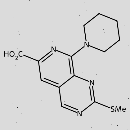 CSc1ncc2cc(C(=O)O)nc(N3CCCCC3)c2n1